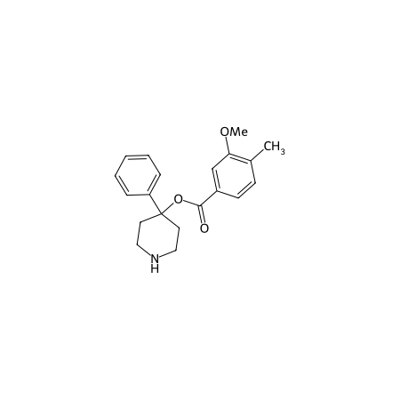 COc1cc(C(=O)OC2(c3ccccc3)CCNCC2)ccc1C